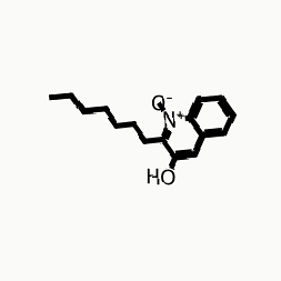 CCCCCCCc1c(O)cc2ccccc2[n+]1[O-]